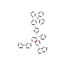 c1ccc(C2(c3ccccc3)c3ccccc3-c3ccc(-c4ccc(N(c5ccc(-c6ccc7sc8ccccc8c7c6)cc5)c5ccccc5-c5cccc(-c6cccc7ccccc67)c5)cc4)cc32)cc1